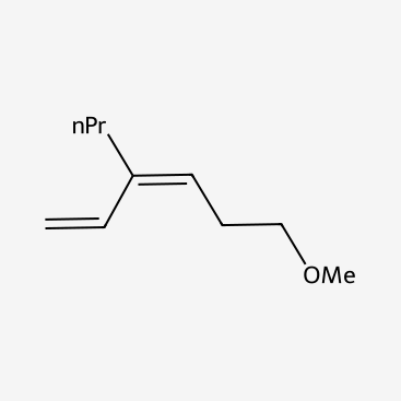 C=C/C(=C\CCOC)CCC